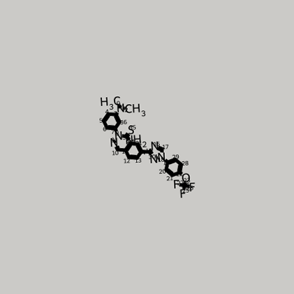 CN(C)c1cccc(N(/N=C\c2ccc(-c3ncn(-c4ccc(OC(F)(F)F)cc4)n3)cc2)C(N)=S)c1